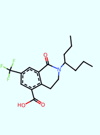 CCCC(CCC)N1CCc2c(C(=O)O)cc(C(F)(F)F)cc2C1=O